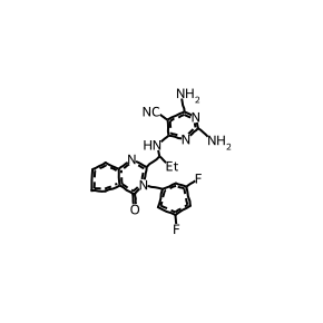 CCC(Nc1nc(N)nc(N)c1C#N)c1nc2ccccc2c(=O)n1-c1cc(F)cc(F)c1